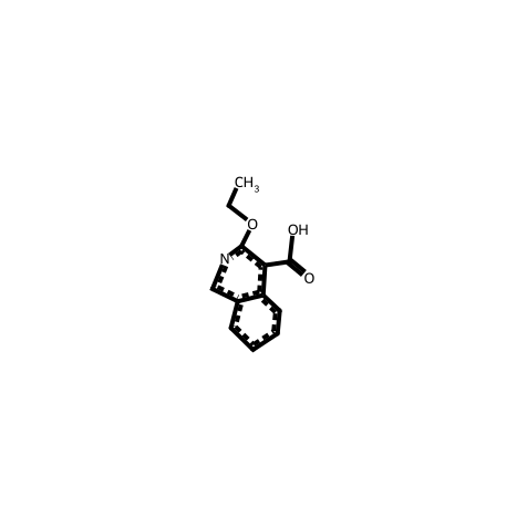 CCOc1ncc2ccccc2c1C(=O)O